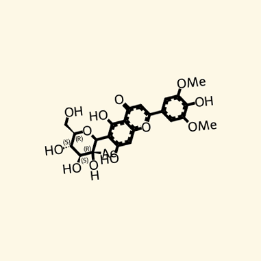 COc1cc(-c2cc(=O)c3c(O)c(C4O[C@H](CO)[C@@H](O)[C@H](O)[C@]4(O)C(C)=O)c(O)cc3o2)cc(OC)c1O